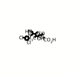 Cc1c(/C(C=N)=C/Nc2cc(Cl)cc(Cl)c2)cnc(C(=O)NCC(=O)O)c1O